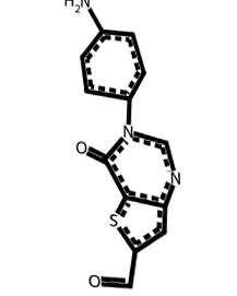 Nc1ccc(-n2cnc3cc(C=O)sc3c2=O)cc1